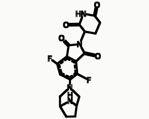 O=C1CCC(N2C(=O)c3c(F)cc(N4CC5CCC(C4)N5)c(F)c3C2=O)C(=O)N1